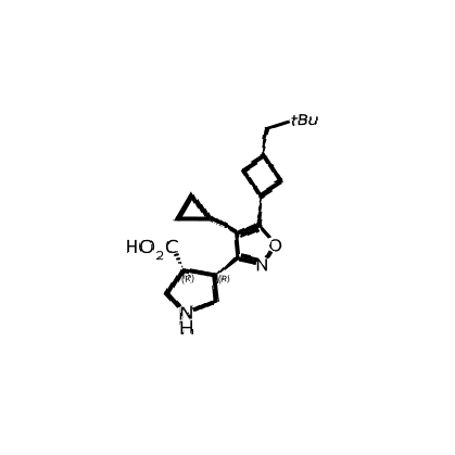 CC(C)(C)C[C@H]1C[C@@H](c2onc([C@H]3CNC[C@@H]3C(=O)O)c2C2CC2)C1